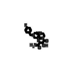 NC(=O)c1nc2n(c(=O)c1O)CCNC21CCN(Cc2ccc(F)cc2)CC1